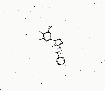 COc1cc(-c2cs/c(=N/C(=O)c3ccccc3)n2C)cc(C)c1C